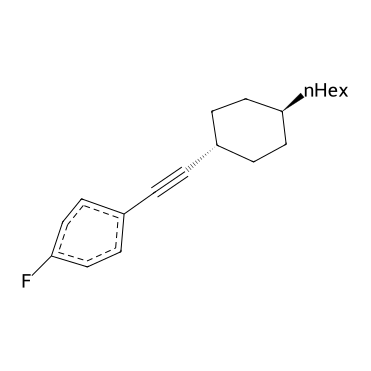 CCCCCC[C@H]1CC[C@H](C#Cc2ccc(F)cc2)CC1